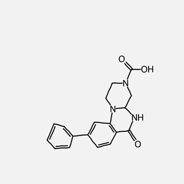 O=C1NC2CN(C(=O)O)CCN2c2cc(-c3ccccc3)ccc21